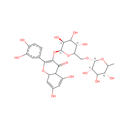 CC1O[C@@H](OCC2O[C@@H](OC3=C(c4ccc(O)c(O)c4)OC4C=C(O)C=C(O)C4C3=O)[C@@H](O)C(O)[C@@H]2O)[C@@H](O)C(O)[C@H]1O